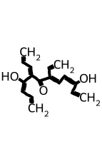 C=C/C=C(O)\C(=C/C=C)C(=O)/C(C=C)=C/C=C(/O)C=C